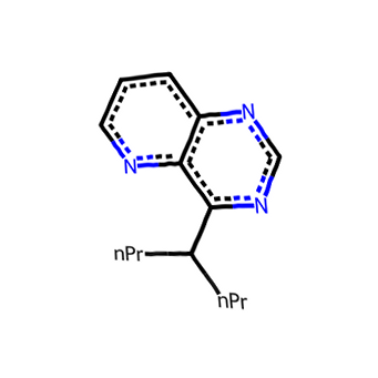 CCCC(CCC)c1ncnc2cccnc12